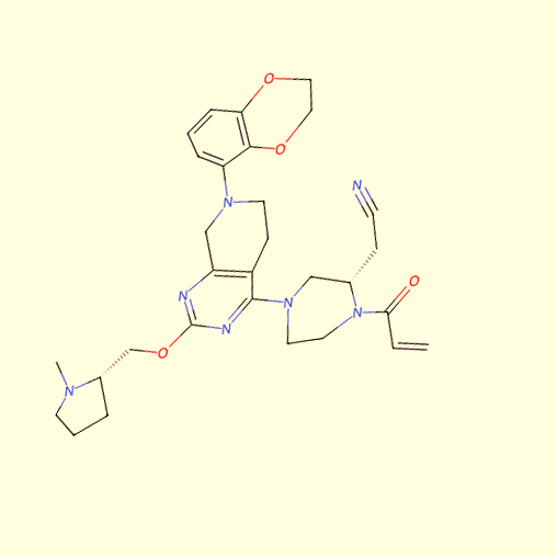 C=CC(=O)N1CCN(c2nc(OC[C@@H]3CCCN3C)nc3c2CCN(c2cccc4c2OCCO4)C3)C[C@@H]1CC#N